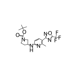 Cc1nc(N[C@H]2CCN(C(=O)OC(C)(C)C)C2)ccc1-c1noc(C(F)(F)F)n1